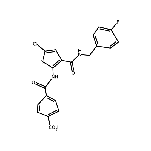 O=C(O)c1ccc(C(=O)Nc2sc(Cl)cc2C(=O)NCc2ccc(F)cc2)cc1